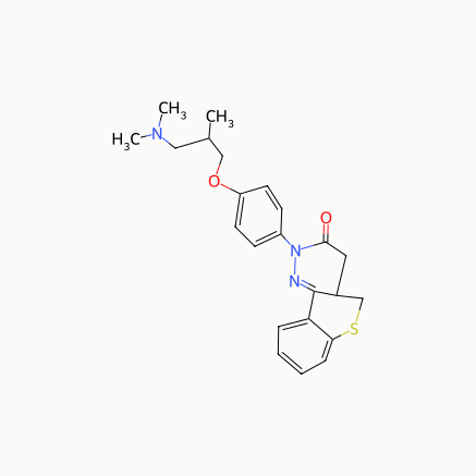 CC(COc1ccc(N2N=C3c4ccccc4SCC3CC2=O)cc1)CN(C)C